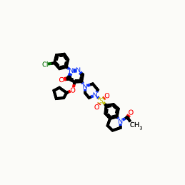 CC(=O)N1CCCc2cc(S(=O)(=O)N3CCN(c4cnn(-c5cccc(Cl)c5)c(=O)c4OC4CCCC4)CC3)ccc21